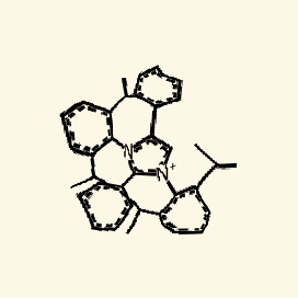 CC(C)c1cccc(C(C)C)c1-n1c(-c2ccccc2)c[n+](-c2c(C(C)C)cccc2C(C)C)c1-c1ccccc1